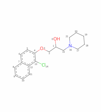 OC(COc1ccc2ccccc2c1Cl)CN1CCCCC1